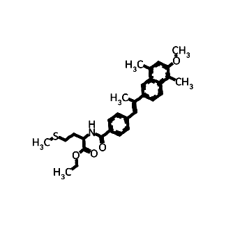 CCOC(=O)C(CCSC)NC(=O)c1ccc(C=C(C)c2ccc3c(C)c(OC)cc(C)c3c2)cc1